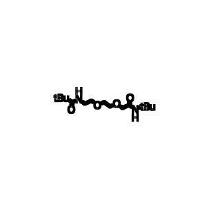 CC(C)(C)NC(=O)COCCOCCNC(=O)C(C)(C)C